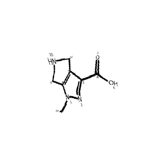 Cn1nc(C(=O)O)c2c1CNC2